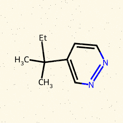 CCC(C)(C)c1ccnnc1